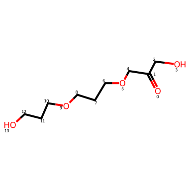 O=C(CO)COCCCOCCCO